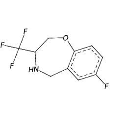 Fc1ccc2c(c1)CNC(C(F)(F)F)CO2